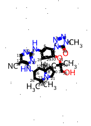 Cn1nnn(-c2cc(Nc3ncc(C#N)c(N[C@@H]4C[C@@H]5CCCN5C(C)(C)C4)n3)ccc2OC(C)(C)CO)c1=O